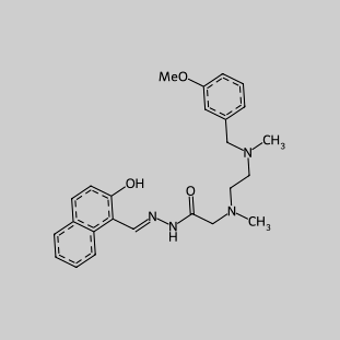 COc1cccc(CN(C)CCN(C)CC(=O)NN=Cc2c(O)ccc3ccccc23)c1